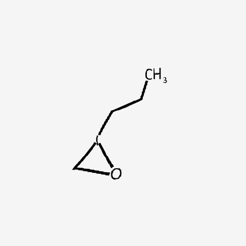 CCCI1CO1